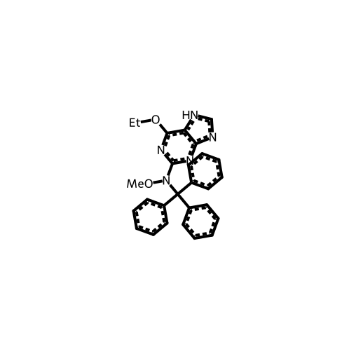 CCOc1nc(N(OC)C(c2ccccc2)(c2ccccc2)c2ccccc2)nc2nc[nH]c12